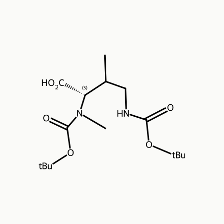 CC(CNC(=O)OC(C)(C)C)[C@@H](C(=O)O)N(C)C(=O)OC(C)(C)C